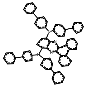 c1ccc(-c2ccc(N(c3ccc(-c4ccccc4)cc3)c3ccc(N(c4ccc(-c5ccccc5)cc4)c4ccc(-c5ccccc5)cc4)c4nc5c6ccccc6c6ccccc6c5nc34)cc2)cc1